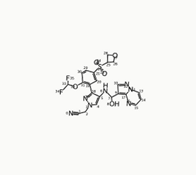 N#CCn1cc(NC(O)c2cnn3cccnc23)c(-c2cc(S(=O)(=O)C3COC3)ccc2OC(F)F)n1